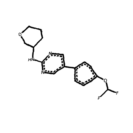 FC(F)Oc1ccc(-c2cnc(NC3CCCOC3)nc2)cc1